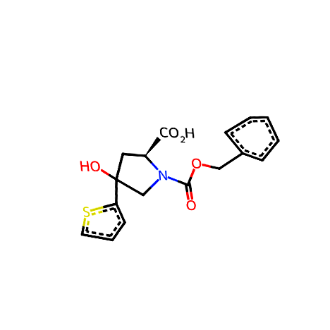 O=C(O)[C@@H]1CC(O)(c2cccs2)CN1C(=O)OCc1ccccc1